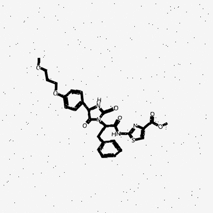 COCCCOc1ccc(C2NC(=O)N(C(Cc3ccccc3)C(=O)Nc3nc(C(=O)OC)cs3)C2=O)cc1